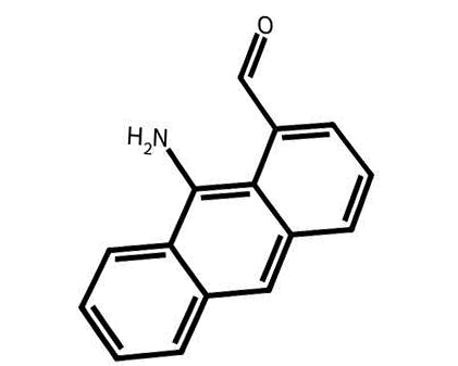 Nc1c2ccccc2cc2cccc(C=O)c12